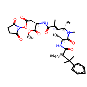 CN[C@H](C(=O)N[C@H](C(=O)N(C)[C@H](/C=C(\C)C(=O)N[C@@H](CC(=O)ON1C(=O)CCC1=O)C(=O)OC(C)(C)C)C(C)C)C(C)(C)C)C(C)(C)c1ccccc1